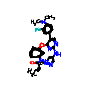 C=CC(=O)Nc1cccc(Oc2nc(Nc3cnn(C)c3)ncc2-c2ccc(N(C)C)c(F)c2)c1